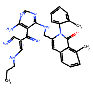 CCCN/C=C(\C=N)C(=N)c1c(N)ncnc1NCc1cc2cccc(C)c2c(=O)n1-c1ccccc1C